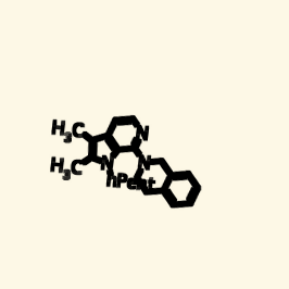 CCCCCn1c(C)c(C)c2ccnc(N3CCc4ccccc4C3)c21